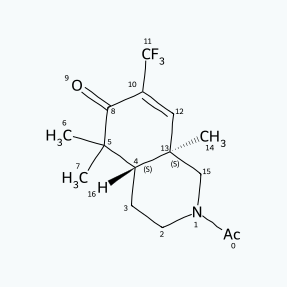 CC(=O)N1CC[C@@H]2C(C)(C)C(=O)C(C(F)(F)F)=C[C@@]2(C)C1